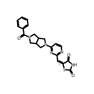 O=C1NC(=O)/C(=C\c2nccc(N3CC4CN(C(=O)c5ccccc5)CC4C3)n2)S1